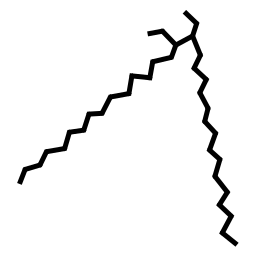 CCCCCCCCCCCCCCCC(CC)C(CC)CCCCCCCCCCCCCCC